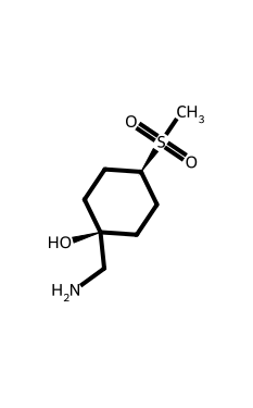 CS(=O)(=O)[C@H]1CC[C@](O)(CN)CC1